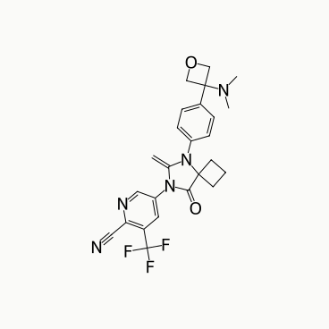 C=C1N(c2cnc(C#N)c(C(F)(F)F)c2)C(=O)C2(CCC2)N1c1ccc(C2(N(C)C)COC2)cc1